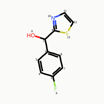 OC(c1ccc(F)cc1)c1nccs1